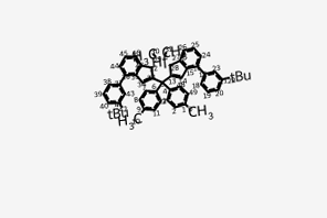 Cc1ccc(C2(c3ccc(C)cc3)C3=Cc4c(-c5cccc(C(C)(C)C)c5)cccc4[CH]3[Hf]([CH3])([CH3])[CH]3C2=Cc2c(-c4cccc(C(C)(C)C)c4)cccc23)cc1